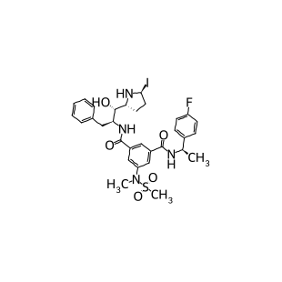 C[C@@H](NC(=O)c1cc(C(=O)N[C@@H](Cc2ccccc2)[C@H](O)[C@H]2CC[C@H](I)N2)cc(N(C)S(C)(=O)=O)c1)c1ccc(F)cc1